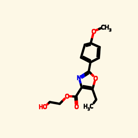 CCc1oc(-c2ccc(OC)cc2)nc1C(=O)OCCO